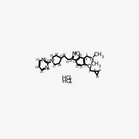 CN(C)Cc1c(OCC2CC2)ccc2c(CCC3CCN(c4ncccn4)CC3)noc12.Cl.Cl